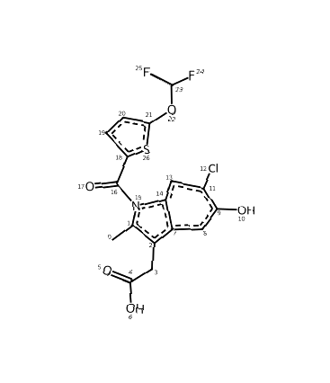 Cc1c(CC(=O)O)c2cc(O)c(Cl)cc2n1C(=O)c1ccc(OC(F)F)s1